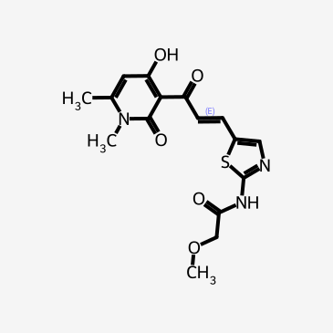 COCC(=O)Nc1ncc(/C=C/C(=O)c2c(O)cc(C)n(C)c2=O)s1